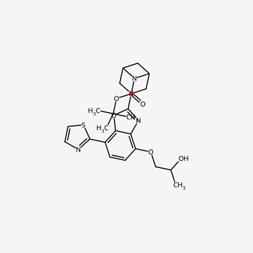 CC(O)COc1ccc(-c2nccs2)c2oc(N3CC4CC(C3)N4C(=O)OC(C)(C)C)nc12